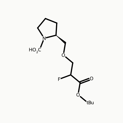 CC(C)(C)OC(=O)C(F)COC[C@@H]1CCCN1C(=O)O